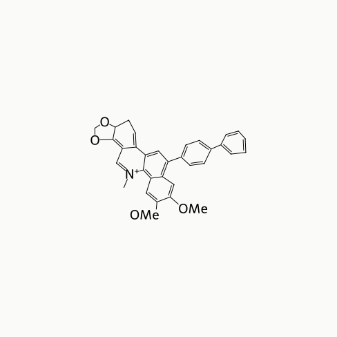 COc1cc2c(-c3ccc(-c4ccccc4)cc3)cc3c4c(c[n+](C)c3c2cc1OC)=C1OCOC1CC=4